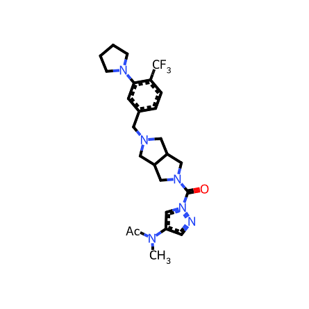 CC(=O)N(C)c1cnn(C(=O)N2CC3CN(Cc4ccc(C(F)(F)F)c(N5CCCC5)c4)CC3C2)c1